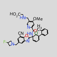 COc1cc(C(=O)NC2(c3nc4cc(CN5CC(F)C5)cc(C#N)c4o3)C=CC=C(c3ccccc3C)C2Cl)ncc1CNCC(=O)O